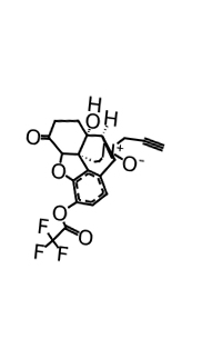 C#CC[N+]1([O-])CC[C@]23c4c5ccc(OC(=O)C(F)(F)F)c4OC2C(=O)CC[C@@]3(O)[C@H]1C5